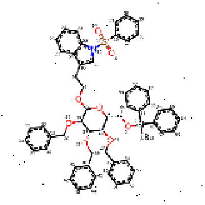 CC(C)(C)[Si](OC[C@H]1O[C@H](OCCc2cn(S(=O)(=O)c3ccccc3)c3ccccc23)[C@H](OCc2ccccc2)[C@@H](OCc2ccccc2)[C@@H]1OCc1ccccc1)(c1ccccc1)c1ccccc1